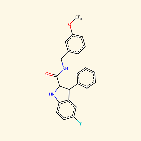 O=C(NCc1cccc(OC(F)(F)F)c1)C1Nc2ccc(F)cc2C1c1ccccc1